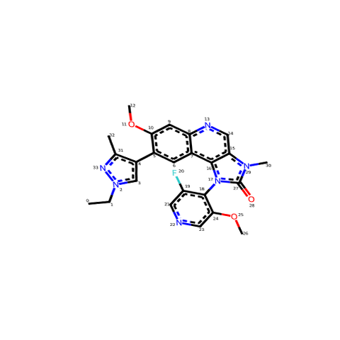 CCn1cc(-c2cc3c(cc2OC)ncc2c3n(-c3c(F)cncc3OC)c(=O)n2C)c(C)n1